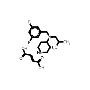 CC(C)CN(Cc1cc(F)cc(F)c1)C1CCNCC1.O=C(O)/C=C/C(=O)O